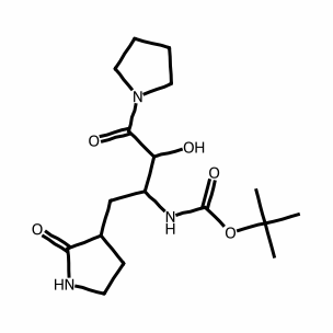 CC(C)(C)OC(=O)NC(CC1CCNC1=O)C(O)C(=O)N1CCCC1